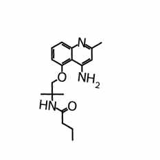 CCCC(=O)NC(C)(C)COc1cccc2nc(C)cc(N)c12